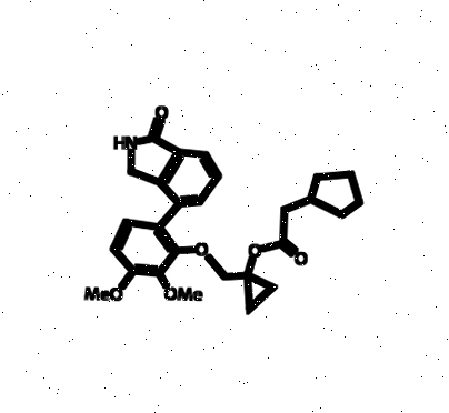 COc1ccc(-c2cccc3c2CNC3=O)c(OCC2(OC(=O)CC3CCCC3)CC2)c1OC